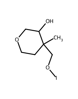 CC1(COI)CCOCC1O